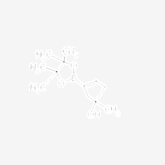 CC1(O)CC=C(B2OC(C)(C)C(C)(C)O2)C1